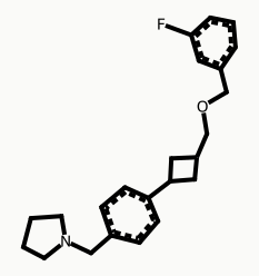 Fc1cccc(COCC2CC(c3ccc(CN4CCCC4)cc3)C2)c1